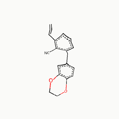 C=Cc1cccc(-c2ccc3c(c2)OCCO3)c1C#N